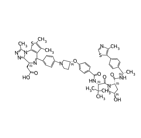 Cc1ncsc1-c1ccc([C@H](C)NC(=O)[C@@H]2C[C@@H](O)CN2C(=O)[C@@H](NC(=O)c2ccc(O[C@@H]3CCN(c4ccc(C5=N[C@@H](CC(=O)O)c6nnc(C)n6-c6sc(C)c(C)c65)cc4)C3)cc2)C(C)(C)C)cc1